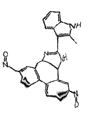 Cc1[nH]c2ccccc2c1C1=NC2c3cc(N=O)ccc3-c3ccc(N=O)cc3C2N1